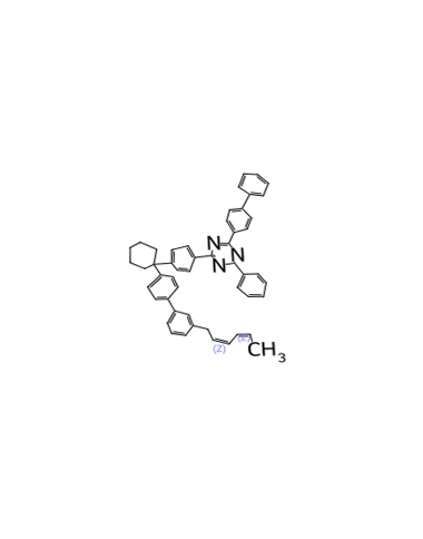 C/C=C\C=C/Cc1cccc(-c2ccc(C3(c4ccc(-c5nc(-c6ccccc6)nc(-c6ccc(-c7ccccc7)cc6)n5)cc4)CCCCC3)cc2)c1